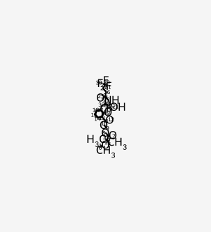 CCOC(C)(C)C(=O)OCOC(=O)c1cccc2c1OB(O)[C@@H](NC(=O)CCC(F)(F)F)C2